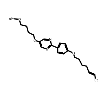 CCC=CCCCCOc1ccc(-c2ncc(OCCCCOCCC)cn2)cc1